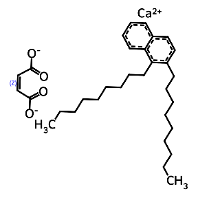 CCCCCCCCCc1ccc2ccccc2c1CCCCCCCCC.O=C([O-])/C=C\C(=O)[O-].[Ca+2]